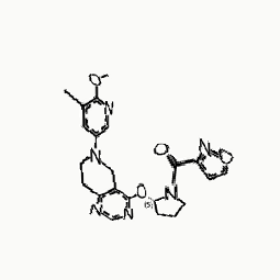 COc1ncc(N2CCc3ncnc(O[C@H]4CCCN4C(=O)c4ccon4)c3C2)cc1C